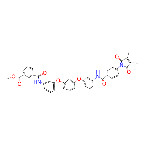 COC(=O)c1cccc(C(=O)Nc2cccc(Oc3cccc(Oc4cccc(NC(=O)c5ccc(N6C(=O)C(C)=C(C)C6=O)cc5)c4)c3)c2)c1